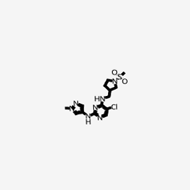 Cn1cc(Nc2ncc(Cl)c(NCC3CCN(S(C)(=O)=O)C3)n2)cn1